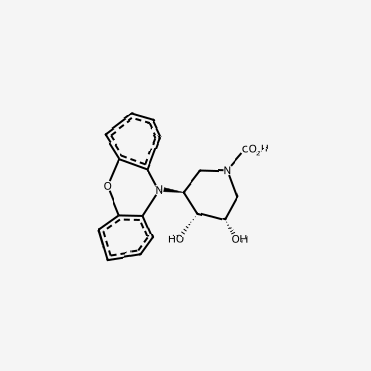 O=C(O)N1C[C@H](O)[C@H](O)[C@@H](N2c3ccccc3Oc3ccccc32)C1